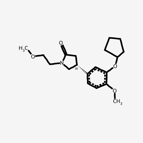 COCCN1C[C@@H](c2ccc(OC)c(OC3CCCC3)c2)CC1=O